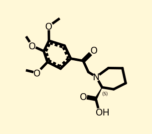 COc1cc(C(=O)CN2CCCC[C@H]2C(=O)O)cc(OC)c1OC